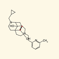 Cc1cccc(CCN2CCC34CCN(CC5CC5)C(Cc5ccc(O)cc53)C4(O)CC2)n1